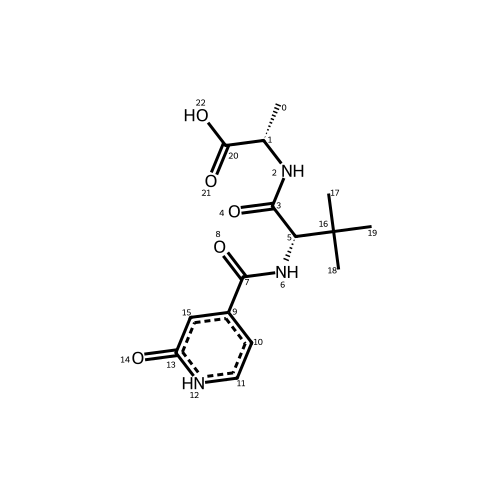 C[C@H](NC(=O)[C@@H](NC(=O)c1cc[nH]c(=O)c1)C(C)(C)C)C(=O)O